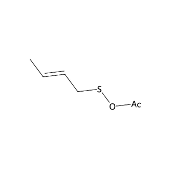 CC=CCSOC(C)=O